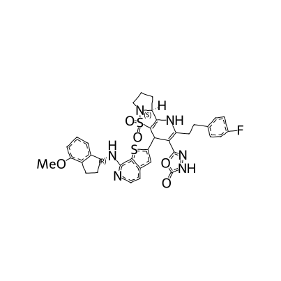 COc1cccc2c1CC[C@H]2Nc1nccc2cc(C3C(c4n[nH]c(=O)o4)=C(CCc4ccc(F)cc4)NC4=C3S(=O)(=O)N3CCC[C@@H]43)sc12